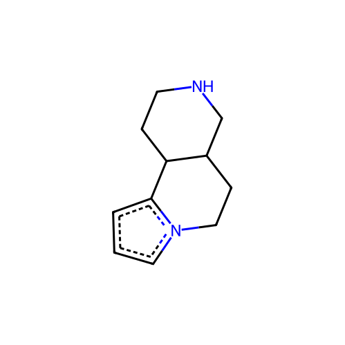 c1cc2n(c1)CCC1CNCCC21